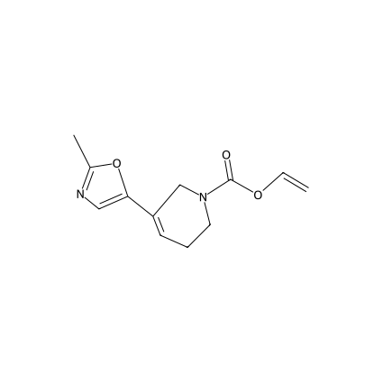 C=COC(=O)N1CCC=C(c2cnc(C)o2)C1